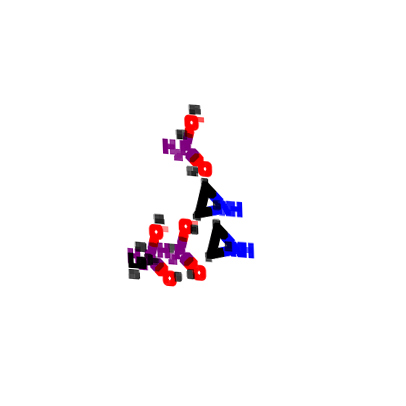 C1CN1.C1CN1.O=[PH2][O-].O=[PH2][O-].O=[PH2][O-].[La+3]